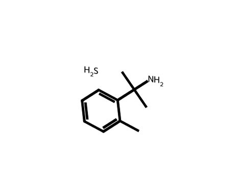 Cc1ccccc1C(C)(C)N.S